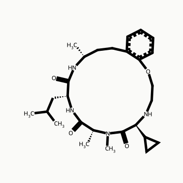 CC(C)C[C@H]1NC(=O)[C@@H](C)N(C)C(=O)[C@H](C2CC2)NCCOc2ccccc2CC[C@@H](C)NC1=O